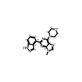 Cn1cnc2c(N3CCOCC3)nc(-c3cccc4[nH]ncc34)nc21